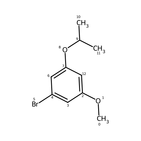 COc1cc(Br)cc(OC(C)C)c1